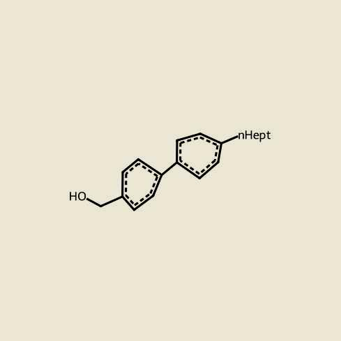 CCCCCCCc1ccc(-c2ccc(CO)cc2)cc1